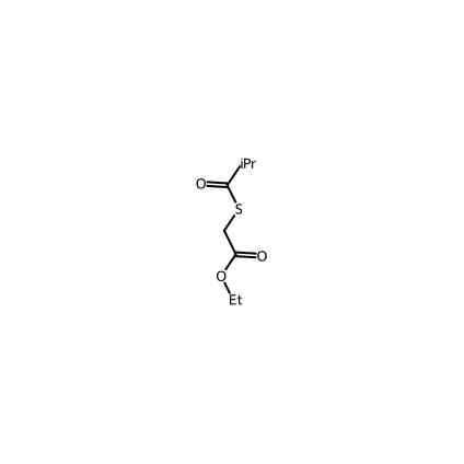 CCOC(=O)CSC(=O)C(C)C